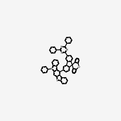 c1ccc(-c2nc(-c3ccccc3)nc(-c3ccc4c(c3)-c3cc(-c5c6c(cc7c5c5ccccc5n7-c5ccccc5)sc5ccccc56)ccc3C43c4ccccc4Oc4ccccc43)n2)cc1